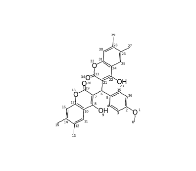 COc1ccc(C(c2c(O)c3cc(C)c(C)cc3oc2=O)c2c(O)c3cc(C)c(C)cc3oc2=O)cc1